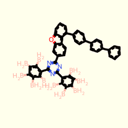 Bc1c(B)c(B)c(-c2nc(-c3ccc4c(c3)oc3cccc(-c5ccc(-c6ccc(-c7ccccc7)cc6)cc5)c34)nc(-c3c(B)c(B)c(B)c(B)c3B)n2)c(B)c1B